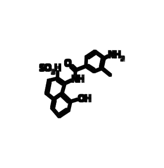 Cc1cc(C(=O)Nc2c(S(=O)(=O)O)ccc3cccc(O)c23)ccc1N